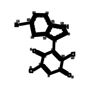 O=C1C=C(Cl)C(=O)C(c2c[nH]c3ccc(Br)cc23)=C1Cl